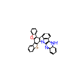 C1=CC2=Nc3c(c4cccc5c6c7c8ccccc8oc7c7c8ccccc8sc7c6n3c45)NC2C=C1